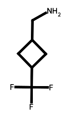 NCC1CC(C(F)(F)F)C1